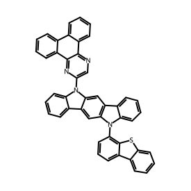 c1ccc2c(c1)sc1c(-n3c4ccccc4c4cc5c(cc43)c3ccccc3n5-c3cnc4c5ccccc5c5ccccc5c4n3)cccc12